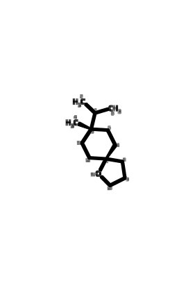 CC(C)[C@]1(C)CC[C@]2(CCCO2)CC1